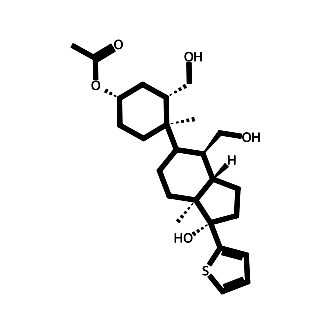 CC(=O)O[C@H]1CC[C@](C)(C2CC[C@@]3(C)[C@@H](CC[C@@]3(O)c3cccs3)[C@@H]2CO)[C@@H](CO)C1